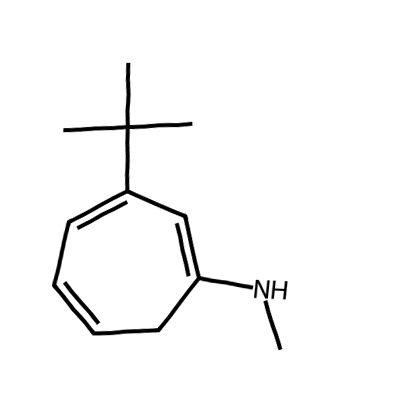 CNC1=CC(C(C)(C)C)=CC=CC1